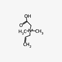 C=CC[N+](C)(C)CC(=O)O